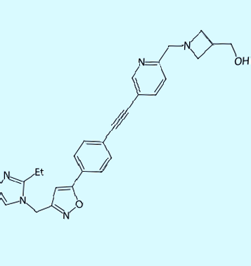 CCc1nccn1Cc1cc(-c2ccc(C#Cc3ccc(CN4CC(CO)C4)nc3)cc2)on1